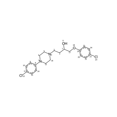 OC(CCN1CCN(c2ccc(Cl)cc2)CC1)COc1ccc(Cl)cc1